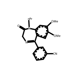 CCCN1C(=O)CN=C(c2cccc(C#N)c2)c2cc(OC)c(OC)cc21